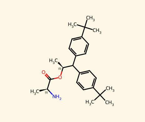 C[C@H](N)C(=O)O[C@@H](C)C(c1ccc(C(C)(C)C)cc1)c1ccc(C(C)(C)C)cc1